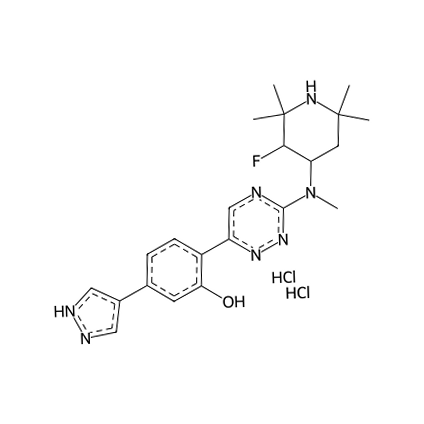 CN(c1ncc(-c2ccc(-c3cn[nH]c3)cc2O)nn1)C1CC(C)(C)NC(C)(C)C1F.Cl.Cl